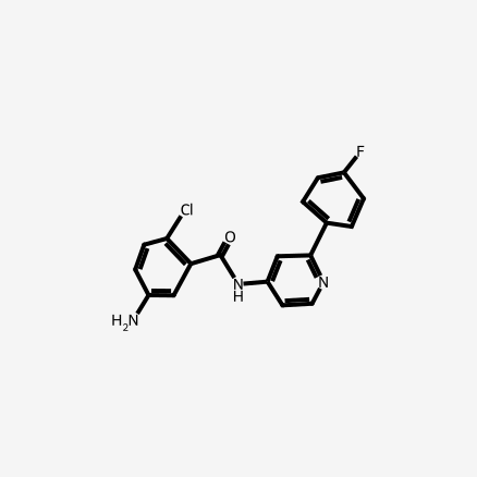 Nc1ccc(Cl)c(C(=O)Nc2ccnc(-c3ccc(F)cc3)c2)c1